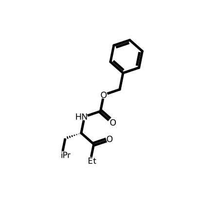 CCC(=O)[C@H](CC(C)C)NC(=O)OCc1ccccc1